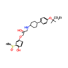 CCCC[S+]([O-])c1cc(OC[C@@H](O)CNC2CCC(c3ccc(OC(C)(C)C(=O)OCC)cc3)CC2)ccc1O